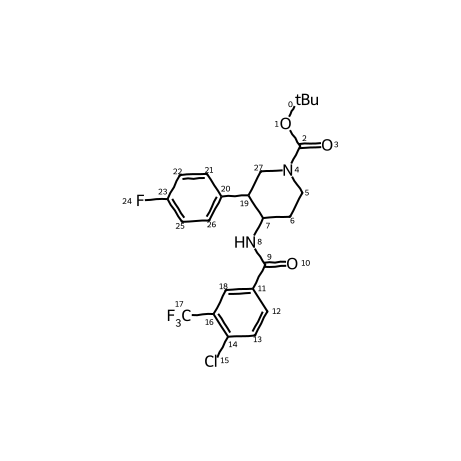 CC(C)(C)OC(=O)N1CCC(NC(=O)c2ccc(Cl)c(C(F)(F)F)c2)C(c2ccc(F)cc2)C1